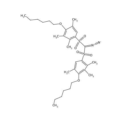 CCCCCCOc1c(C)cc(S(=O)(=O)C(=[N+]=[N-])S(=O)(=O)c2cc(C)c(OCCCCCC)c(C)c2C)c(C)c1C